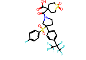 O=C(O)C1(C(=O)N2CCC(c3ccc(C(F)(C(F)(F)F)C(F)(F)F)cc3)(S(=O)(=O)c3ccc(F)cc3)C2)CCS(=O)(=O)CC1